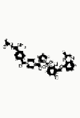 CC(=O)ON=C(N)c1ccc(C(=O)N2CCN(C(=O)[C@@H]3CCCN3S(=O)(=O)c3ccc(Cl)c(COc4cccc5ncc(C)nc45)c3Cl)CC2)cc1